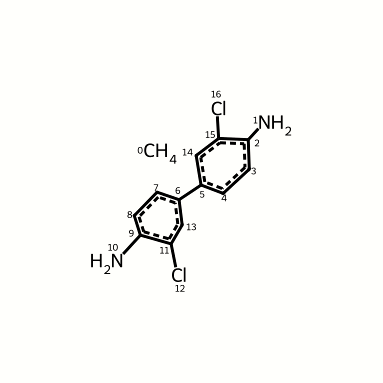 C.Nc1ccc(-c2ccc(N)c(Cl)c2)cc1Cl